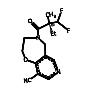 CC[C@@](C)(C(=O)N1CCOc2c(C#N)cncc2C1)C(F)F